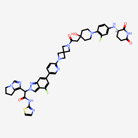 O=C1CC[C@H](Nc2ccc(N3CCC(O)(CC(=O)N4CC5(C4)CN(c4ccc(-c6cc(F)c7cn(C(C(=O)Nc8nccs8)c8ncn9c8CCC9)nc7c6)cn4)C5)CC3)c(F)c2)C(=O)N1